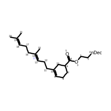 CCCCCCCCCCCCOC(=O)C1CCC=C(CC/C=C(\C)CCC=C(C)C)C1